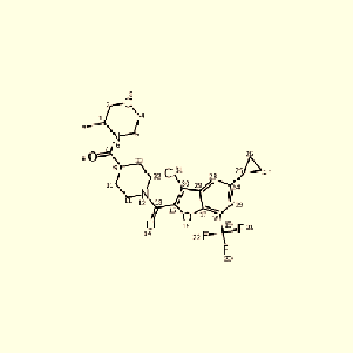 C[C@H]1COCCN1C(=O)C1CCN(C(=O)c2oc3c(C(F)(F)F)cc(C4CC4)cc3c2Cl)CC1